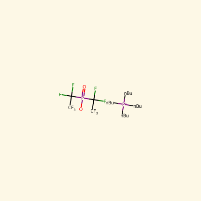 CCCC[P+](CCCC)(CCCC)CCCC.O=P([O-])(C(F)(F)C(F)(F)F)C(F)(F)C(F)(F)F